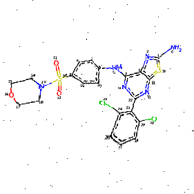 Nc1nc2c(Nc3ccc(S(=O)(=O)N4CCOCC4)cc3)nc(-c3c(Cl)cccc3Cl)nc2s1